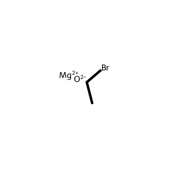 CCBr.[Mg+2].[O-2]